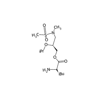 CC[C@H](C)C(N)C(=O)OC[C@H](CN(C)S(C)(=O)=O)OC(C)C